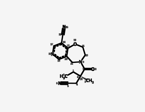 CC[C@](C)(CC#N)C(=O)N1CCOc2c(C#N)cncc2C1